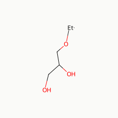 C[CH]OCC(O)CO